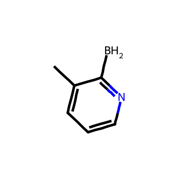 Bc1ncccc1C